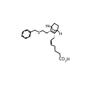 O=C(O)CCC/C=C\C[C@@H]1[C@@H](CCSCc2ccccc2)[C@@H]2CC[C@H]1O2